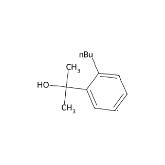 CCCCc1cc[c]cc1C(C)(C)O